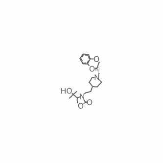 CC(C)(O)C1COC(=O)N1CCC1CCN(C[C@H]2COc3ccccc3O2)CC1